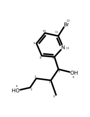 CC(CCO)C(O)c1cccc(Br)n1